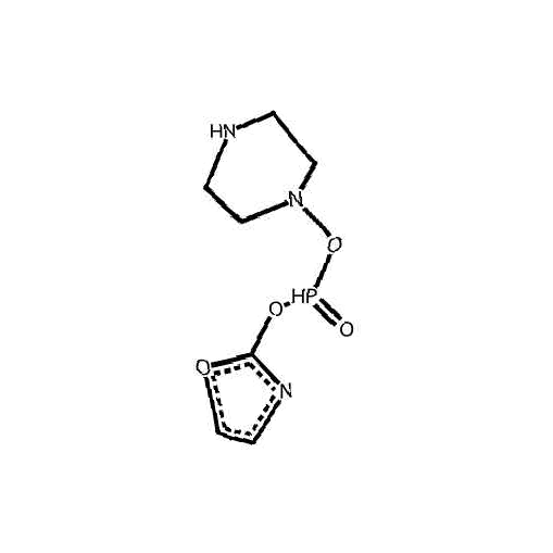 O=[PH](Oc1ncco1)ON1CCNCC1